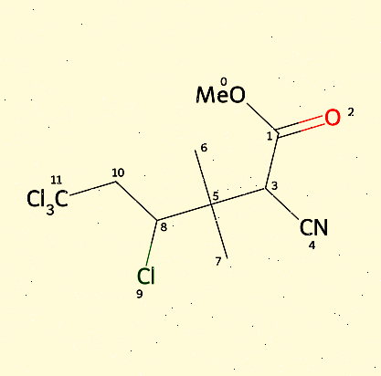 COC(=O)C(C#N)C(C)(C)C(Cl)CC(Cl)(Cl)Cl